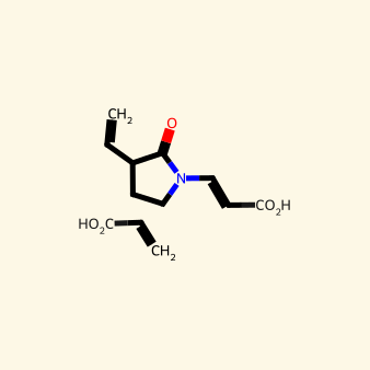 C=CC(=O)O.C=CC1CCN(C=CC(=O)O)C1=O